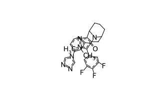 Cc1c(C(=O)N2C3CCCC2c2nn(C)c(-c4cc(F)c(F)c(F)c4)c2C3)cccc1-n1cnnc1